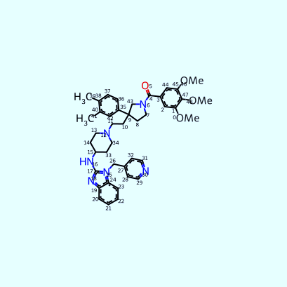 COc1cc(C(=O)N2CCC(CCN3CCC(Nc4nc5ccccc5n4Cc4ccncc4)CC3)(c3ccc(C)c(C)c3)C2)cc(OC)c1OC